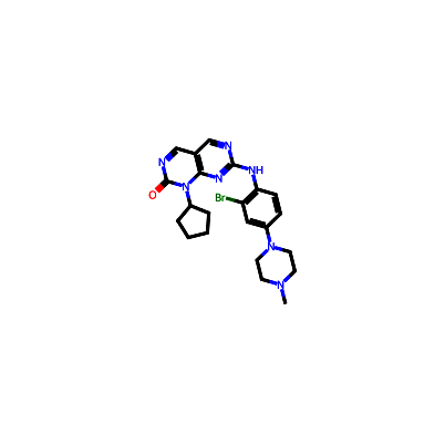 CN1CCN(c2ccc(Nc3ncc4cnc(=O)n(C5CCCC5)c4n3)c(Br)c2)CC1